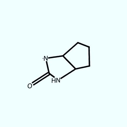 O=C1[N]C2CCCC2N1